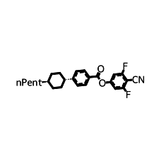 CCCCC[C@H]1CC[C@H](c2ccc(C(=O)Oc3cc(F)c(C#N)c(F)c3)cc2)CC1